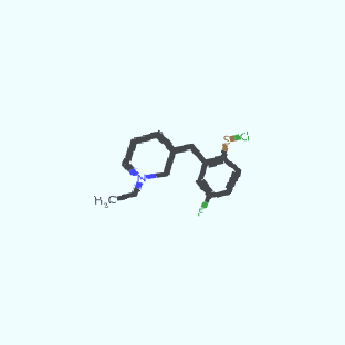 CCN1CCCC(Cc2cc(F)ccc2SCl)C1